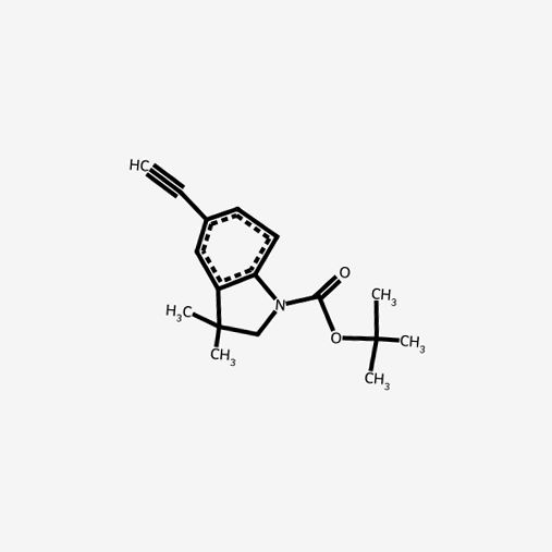 C#Cc1ccc2c(c1)C(C)(C)CN2C(=O)OC(C)(C)C